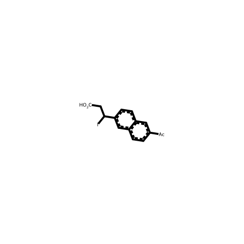 CC(=O)c1ccc2cc(C(I)CC(=O)O)ccc2c1